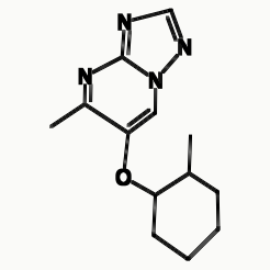 Cc1nc2ncnn2cc1OC1CCCCC1C